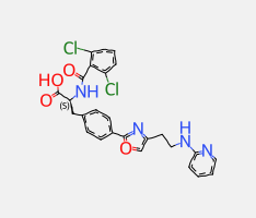 O=C(N[C@@H](Cc1ccc(-c2nc(CCNc3ccccn3)co2)cc1)C(=O)O)c1c(Cl)cccc1Cl